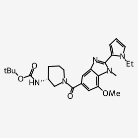 CCn1cccc1-c1nc2cc(C(=O)N3CCC[C@@H](NC(=O)OC(C)(C)C)C3)cc(OC)c2n1C